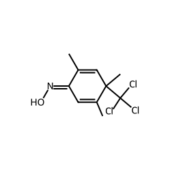 CC1=CC(C)(C(Cl)(Cl)Cl)C(C)=CC1=NO